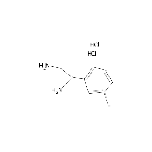 Cl.Cl.NCC(N)c1cccc(F)c1